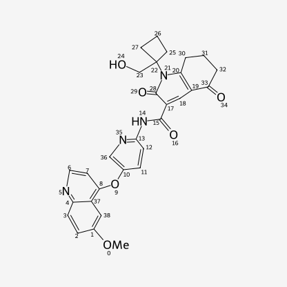 COc1ccc2nccc(Oc3ccc(NC(=O)c4cc5c(n(C6(CO)CCC6)c4=O)CCCC5=O)nc3)c2c1